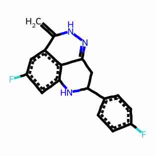 C=C1NN=C2CC(c3ccc(F)cc3)Nc3cc(F)cc1c32